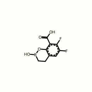 O=C(O)c1c(F)c(F)cc2c1OB(O)CC2